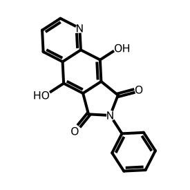 O=C1c2c(c(O)c3ncccc3c2O)C(=O)N1c1ccccc1